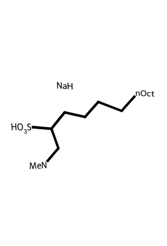 CCCCCCCCCCCCC(CNC)S(=O)(=O)O.[NaH]